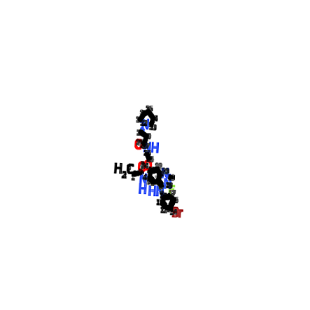 C=CC(=O)Nc1cc2c(Nc3ccc(Br)cc3F)ncnc2cc1OCCNC(=O)CCN1CCCCC1